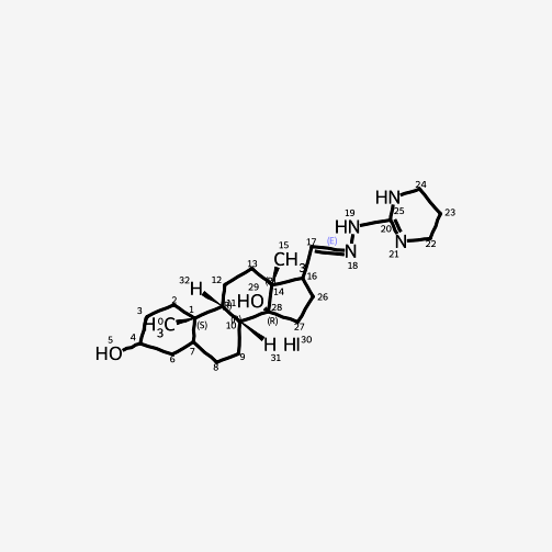 C[C@]12CCC(O)CC1CC[C@@H]1[C@H]2CC[C@]2(C)C(/C=N/NC3=NCCCN3)CC[C@@]12O.I